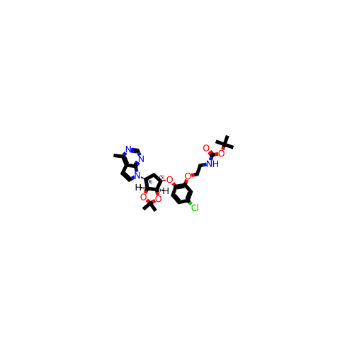 Cc1ncnc2c1ccn2[C@@H]1C[C@H](Oc2ccc(Cl)cc2OCCNC(=O)OC(C)(C)C)[C@H]2OC(C)(C)O[C@H]21